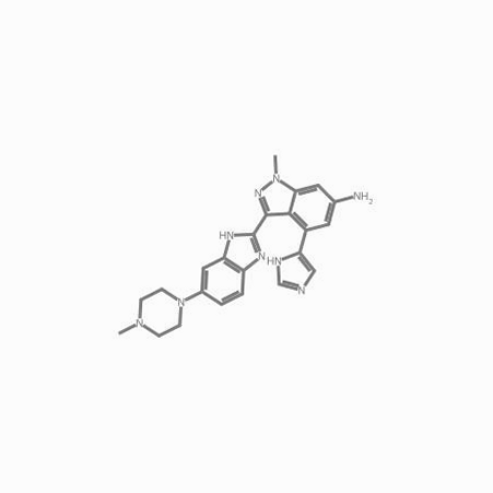 CN1CCN(c2ccc3nc(-c4nn(C)c5cc(N)cc(-c6cnc[nH]6)c45)[nH]c3c2)CC1